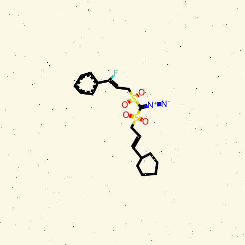 [N-]=[N+]=C(S(=O)(=O)CC=CC1CCCCC1)S(=O)(=O)CC=C(F)c1ccccc1